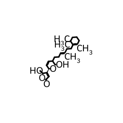 CC1=C(CC/C(C)=C/CCC2C=C[C@H](C3=CC(=O)OC3O)OC2O)C(C)(C)CCC1